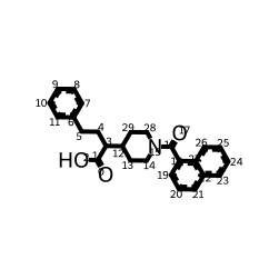 O=C(O)C(CCc1ccccc1)C1CCN(C(=O)c2cccc3ccccc23)CC1